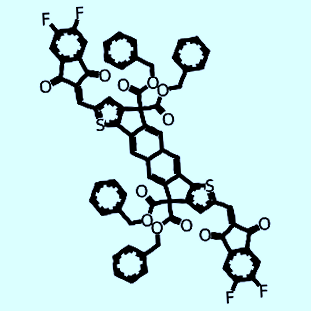 O=C1C(=Cc2cc3c(s2)C2=CC4C=C5C(=CC4C=C2C3(C(=O)OCc2ccccc2)C(=O)OCc2ccccc2)c2sc(C=C3C(=O)c4cc(F)c(F)cc4C3=O)cc2C5(C(=O)OCc2ccccc2)C(=O)OCc2ccccc2)C(=O)c2cc(F)c(F)cc21